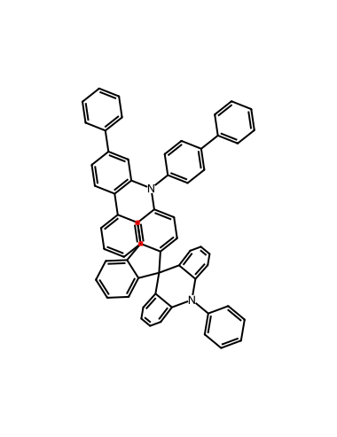 c1ccc(-c2ccc(N(c3ccc4c(c3)-c3ccccc3C43c4ccccc4N(c4ccccc4)c4ccccc43)c3cc(-c4ccccc4)ccc3-c3ccccc3)cc2)cc1